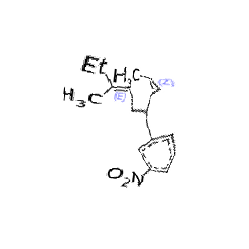 C/C=C\C(C/C=C(\C)CC)c1cccc([N+](=O)[O-])c1